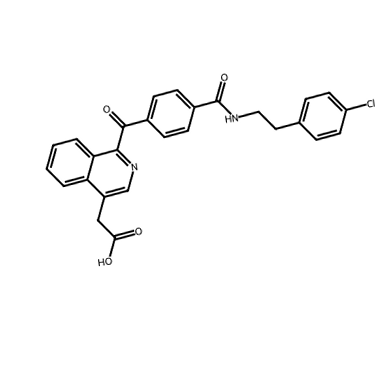 O=C(O)Cc1cnc(C(=O)c2ccc(C(=O)NCCc3ccc(Cl)cc3)cc2)c2ccccc12